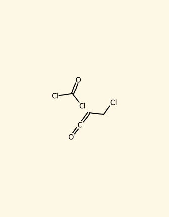 O=C(Cl)Cl.O=C=CCCl